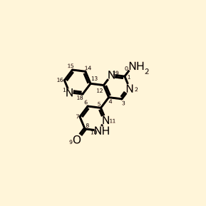 Nc1ncc(-c2ccc(=O)[nH]n2)c(-c2cccnc2)n1